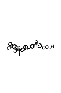 O=C(O)C1CCN(C(=O)c2ccc(Cn3ccc4cc(NS(=O)(=O)c5ccc(Cl)c(Cl)c5)ccc43)cc2)CC1